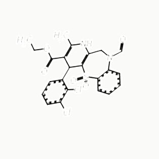 CCOC(=O)C1=C(C)NC2=C(C1c1cccc(Cl)c1Cl)S(=O)(=O)c1ccccc1N(C=O)C2